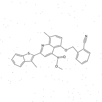 COC(=O)c1cc(-c2sc3ccccc3c2C)nc2c(C)ccc(OCc3ccccc3C#N)c12